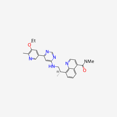 CCOc1cc(-c2cc(NC[C@@H](C)c3cccc4c(C(=O)NC)ccnc34)ncn2)cnc1C